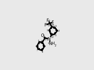 NN(C(=O)c1ccccc1)c1cccc(C(F)(F)F)c1